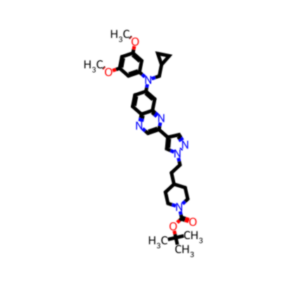 COc1cc(OC)cc(N(CC2CC2)c2ccc3ncc(-c4cnn(CCC5CCN(C(=O)OC(C)(C)C)CC5)c4)nc3c2)c1